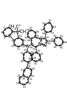 CC1(C)c2ccccc2-c2ccc(N(c3ccc(-c4ccc5ccccc5c4)cc3)c3c(-c4ccccc4)n4nc(-c5ccccc5)c(-c5ccccc5)c4c4ccccc34)cc21